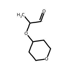 CC([C]=O)OC1CCOCC1